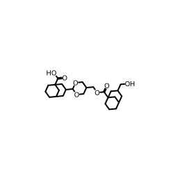 O=C(O)C12CCCC(CC(C3OCC(COC(=O)C45CCCC(CC(CO)C4)C5)CO3)C1)C2